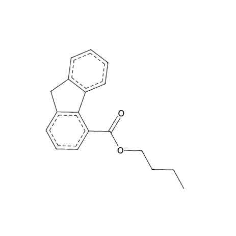 CCCCOC(=O)c1cccc2c1-c1ccccc1C2